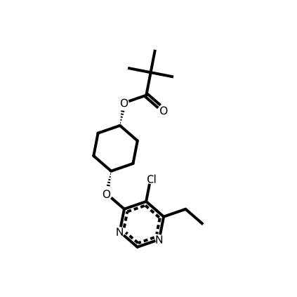 CCc1ncnc(O[C@H]2CC[C@@H](OC(=O)C(C)(C)C)CC2)c1Cl